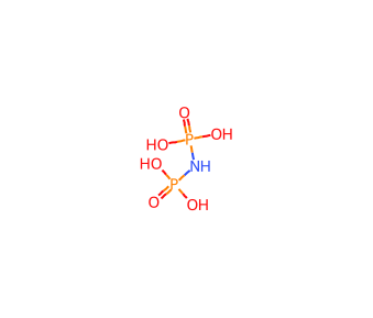 O=P(O)(O)NP(=O)(O)O